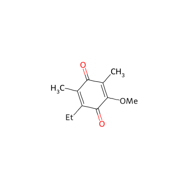 CCC1=C(C)C(=O)C(C)=C(OC)C1=O